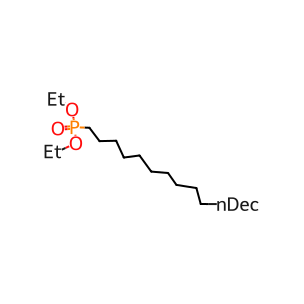 CCCCCCCCCCCCCCCCCCCCP(=O)(OCC)OCC